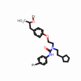 CCOC(Cc1ccc(OCCN(CCC2CCCC2)C(=O)Nc2ccc(C(C)C)cc2)cc1)C(=O)O